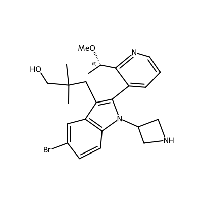 CO[C@@H](C)c1ncccc1-c1c(CC(C)(C)CO)c2cc(Br)ccc2n1C1CNC1